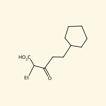 CCC(C(=O)O)C(=O)CCC1CCCCC1